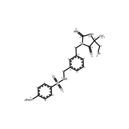 CCCCCc1ccc(S(=O)(=O)NCc2cccc(CN3C(=N)NC(C)(CC(C)C)C3=O)c2)cc1